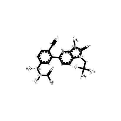 C[C@H](c1ccc(C#N)c(-c2ccc3c(n2)n(C)c(=O)n3CC(C)(C)C)c1)N(C)C(=O)O